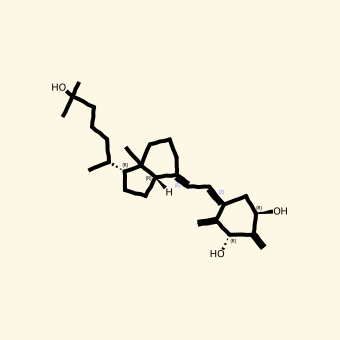 C=C1/C(=C\C=C2/CCCC3(C)[C@@H](C(C)CCCC(C)(C)O)CC[C@@H]23)C[C@@H](O)C(=C)[C@@H]1O